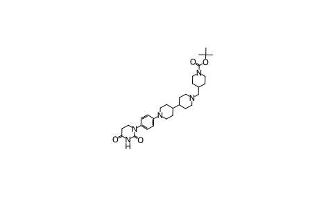 CC(C)(C)OC(=O)N1CCC(CN2CCC(C3CCN(c4ccc(N5CCC(=O)NC5=O)cc4)CC3)CC2)CC1